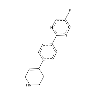 Fc1cnc(-c2ccc(C3=CCNCC3)cc2)nc1